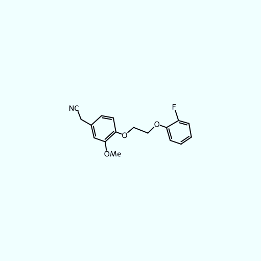 COc1cc(CC#N)ccc1OCCOc1ccccc1F